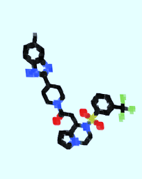 Cc1ccc2[nH]c(C3CCN(C(=O)CC4c5cccn5CCN4S(=O)(=O)c4cccc(C(F)(F)F)c4)CC3)nc2c1